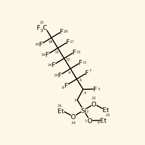 CCO[Si](CC(F)C(F)(F)C(F)(F)C(F)(F)C(F)(F)C(F)(F)C(F)(F)F)(OCC)OCC